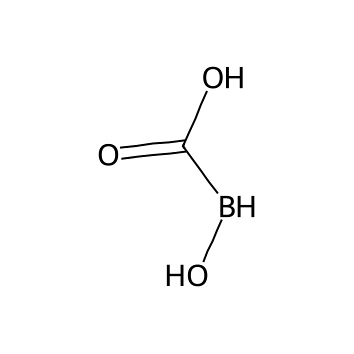 O=C(O)BO